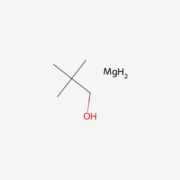 CC(C)(C)CO.[MgH2]